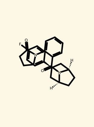 O=C1CCCN1c1ccccc1C(=O)N1[C@@H]2CC[C@H]1C[C@@H](c1ccc(F)cc1)C2